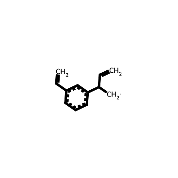 [CH2]C(C=C)c1cccc(C=C)c1